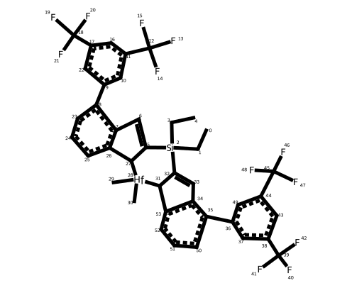 CC[Si]1(CC)C2=Cc3c(-c4cc(C(F)(F)F)cc(C(F)(F)F)c4)cccc3[CH]2[Hf]([CH3])([CH3])[CH]2C1=Cc1c(-c3cc(C(F)(F)F)cc(C(F)(F)F)c3)cccc12